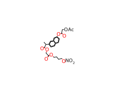 CC(=O)OCC(=O)Oc1ccc2ccc(C(C)C(=O)OCC(=O)OCCCCO[N+](=O)[O-])cc2c1